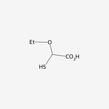 CCOC(S)C(=O)O